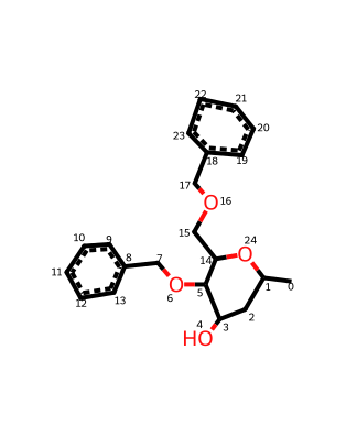 CC1CC(O)C(OCc2ccccc2)C(COCc2ccccc2)O1